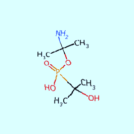 CC(C)(N)OP(=O)(O)C(C)(C)O